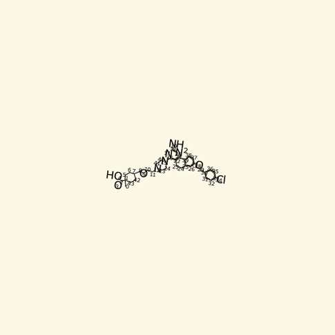 CC1(C(=O)O)CCC(COCCN2CCN(c3nc(N)nc4c3CCc3cc(OCc5ccc(Cl)cc5)ccc3-4)CC2)CC1